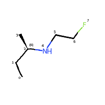 CC[C@@H](C)NCCF